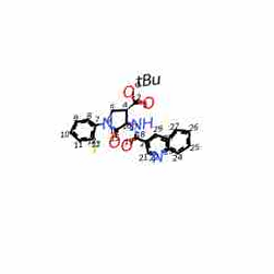 CC(C)(C)OC(=O)[C@@H]1CN(c2ccccc2F)C(=O)[C@@H]1NC(=O)c1cnc2ccccc2c1